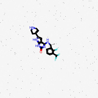 C[C@@H](Nc1nc(=O)[nH]c2[nH]c(C3=CCNCC3)cc12)c1cccc(C(F)F)c1F